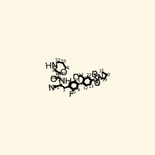 N#CC(Cc1cc2c(cc1F)-c1ccc(S(=O)(=O)N3CCC3)cc1CO2)NC(=O)[C@@H]1CNCCCO1